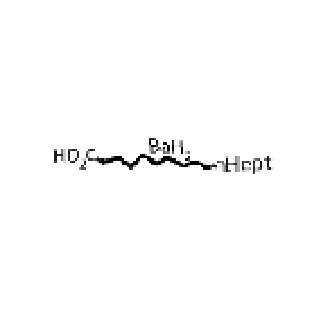 CCCCCCCCCCCCCCCCC(=O)O.[BaH2]